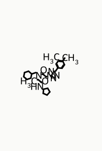 Cc1ccc(-c2nnn(CC(=O)N(CC3CCCCC3)C(C)C(=O)NC3CCCC3)n2)cc1C